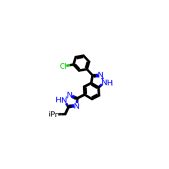 CC(C)Cc1nc(-c2ccc3[nH]nc(-c4cccc(Cl)c4)c3c2)n[nH]1